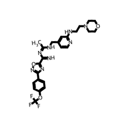 C/C(=N/C(=N)c1nc(-c2ccc(OC(F)(F)F)cc2)no1)NCc1ccnc(NCCN2CCOCC2)c1